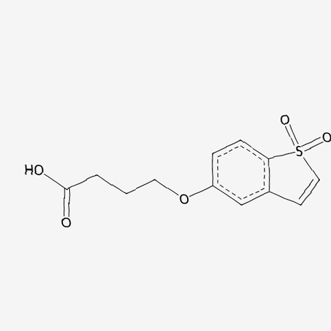 O=C(O)CCCOc1ccc2c(c1)C=CS2(=O)=O